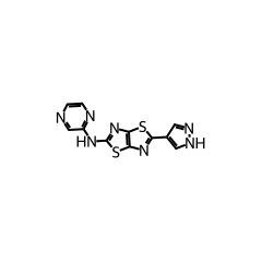 c1cnc(Nc2nc3sc(-c4cn[nH]c4)nc3s2)cn1